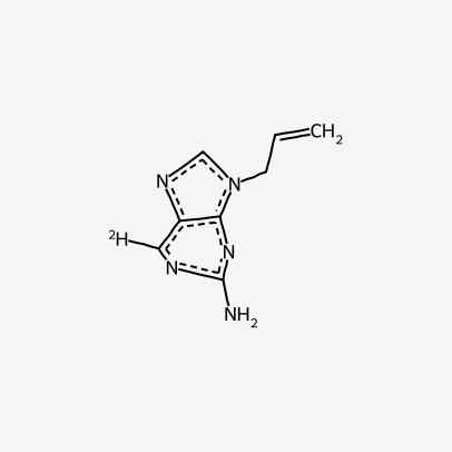 [2H]c1nc(N)nc2c1ncn2CC=C